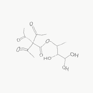 CC(=O)C(C(C)=O)(C(C)=O)C(=O)OC(C)C(O)C(O)O